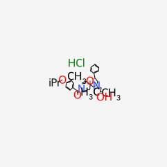 Cc1cc(C(=O)N2CCC3(CC2)CN(CC(C)(C)O)CC(c2ccccc2)O3)ccc1OC(C)C.Cl